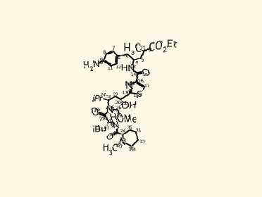 CCOC(=O)C(C)C[C@H](Cc1ccc(N)cc1)NC(=O)c1csc([C@H](O)C[C@H](C(C)C)N(COC)C(=O)[C@@H](NC(=O)[C@H]2CCCCN2C)[C@@H](C)CC)n1